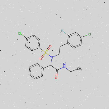 CCNC(=O)C(c1ccccc1)N(CCc1ccc(Cl)cc1F)S(=O)(=O)c1ccc(Cl)cc1